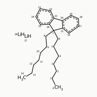 CCCCCCCC1(CCCCCCC)c2ccccc2-c2ccccc21.[LiH].[LiH]